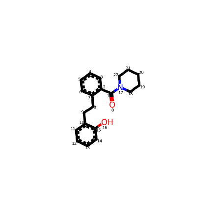 O=C(c1ccccc1CCc1ccccc1O)N1CCCCC1